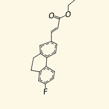 CCOC(=O)C=Cc1ccc2c(c1)CCc1cc(F)ccc1-2